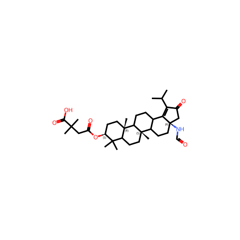 CC(C)C1=C2C3CCC4[C@@](C)(CCC5C(C)(C)[C@@H](OC(=O)CC(C)(C)C(=O)O)CC[C@@]54C)C3CC[C@@]2(NC=O)CC1=O